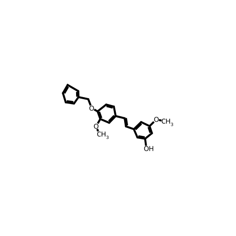 COc1cc(O)cc(C=Cc2ccc(OCc3ccccc3)c(OC)c2)c1